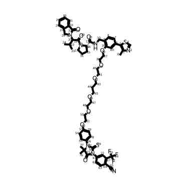 Cc1ncsc1-c1ccc(CNC(=O)[C@@H]2CCCN2C(=O)C(C(C)C)N2Cc3ccccc3C2=O)c(OCCOCCOCCCOCCOCCOc2ccc(N3C(=S)N(c4ccc(C#N)c(C(F)(F)F)c4)C(=O)C3(C)C)cc2)c1